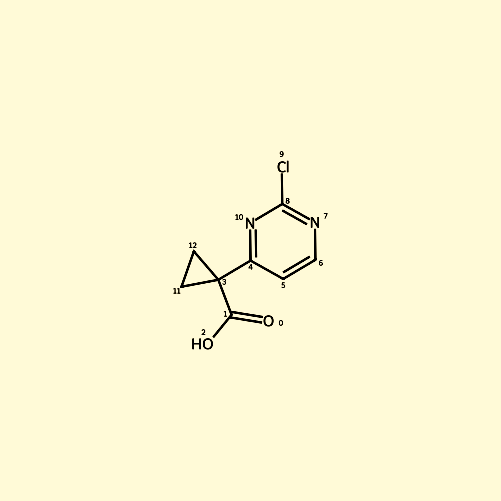 O=C(O)C1(c2ccnc(Cl)n2)CC1